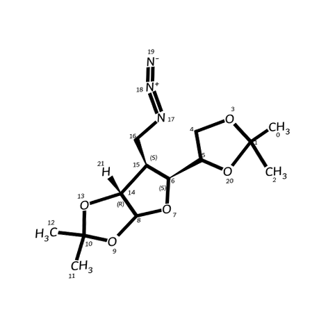 CC1(C)OCC([C@H]2OC3OC(C)(C)O[C@@H]3[C@H]2CN=[N+]=[N-])O1